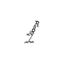 CCCN(CCC)CCCCN(Cc1ccc(CNCc2ncc[nH]2)cc1)C(C)C#N